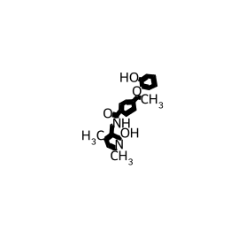 Cc1cc(C)c(CNC(=O)c2ccc(C(C)Oc3ccccc3O)cc2)c(O)n1